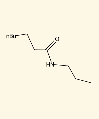 CCCCCCC(=O)NCCI